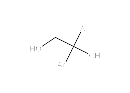 CC(=O)C(O)(CO)C(C)=O